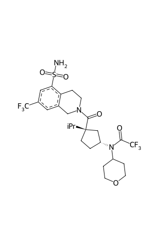 CC(C)[C@]1(C(=O)N2CCc3c(cc(C(F)(F)F)cc3S(N)(=O)=O)C2)CC[C@@H](N(C(=O)C(F)(F)F)C2CCOCC2)C1